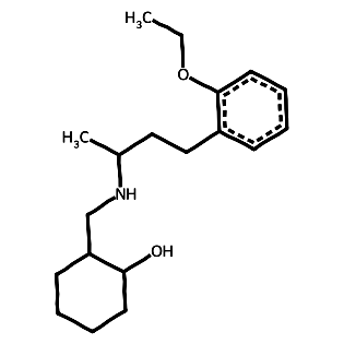 CCOc1ccccc1CCC(C)NCC1CCCCC1O